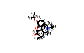 [2H]C([2H])([2H])Oc1ccc2c3c1OC1([2H])C(=O)C([2H])([2H])C[C@H]4[C@@H](C2)N(C([2H])([2H])[2H])CC[C@@]341